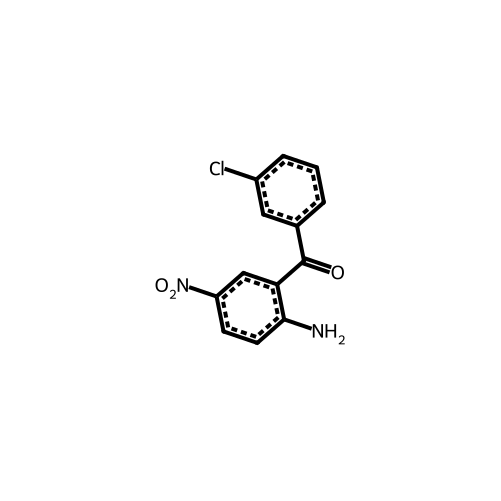 Nc1ccc([N+](=O)[O-])cc1C(=O)c1cccc(Cl)c1